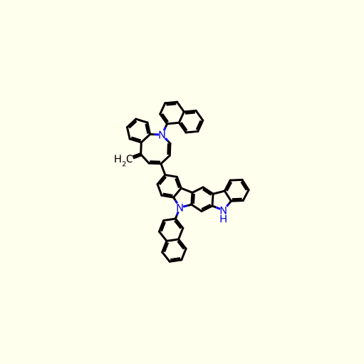 C=C1/C=C(c2ccc3c(c2)c2cc4c(cc2n3-c2ccc3ccccc3c2)[nH]c2ccccc24)\C=C/N(c2cccc3ccccc23)c2ccccc21